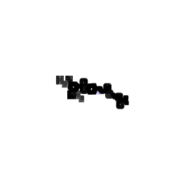 C=C(C)C(=O)OCCOC(=O)/C=C/C1=CCC(OC(=O)c2cc(N)cc(N)c2)C=C1